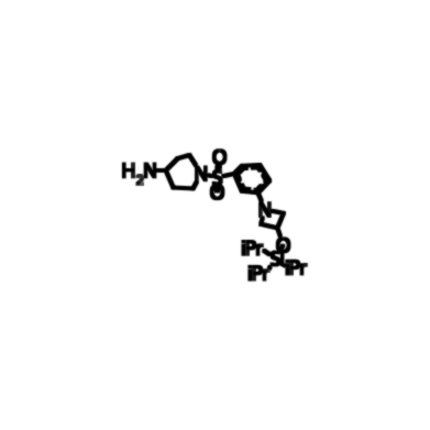 CC(C)[Si](OC1CN(c2cccc(S(=O)(=O)N3CCC(N)CC3)c2)C1)(C(C)C)C(C)C